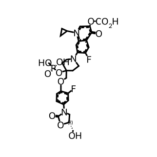 O=C(O)Oc1cn(C2CC2)c2cc(N3CCC(COc4ccc(N5C[C@H](CO)OC5=O)cc4F)(OP(=O)(O)O)CC3)c(F)cc2c1=O